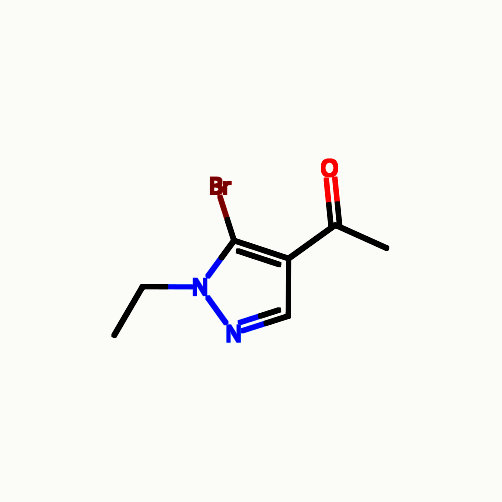 CCn1ncc(C(C)=O)c1Br